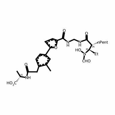 CCCCC[C@@H](C(=O)NCNC(=O)c1ccc(-c2ccc(CC(=O)N[C@@H](C)C(=O)O)c(C)c2)o1)[C@@H](CC)N(O)C=O